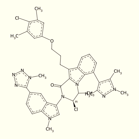 Cc1cc(OCCCc2c3n(c4c(-c5c(C)nn(C)c5C)cccc24)C(C)[C@@H](Cl)N(c2cn(C)c4ccc(-c5nnnn5C)cc24)C3=O)cc(C)c1Cl